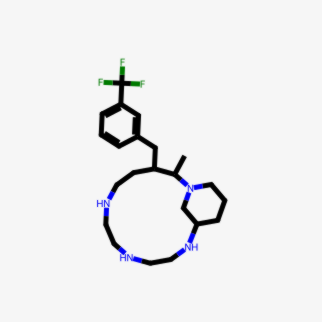 CC1C(Cc2cccc(C(F)(F)F)c2)CCNCCNCCNC2CCCN1C2